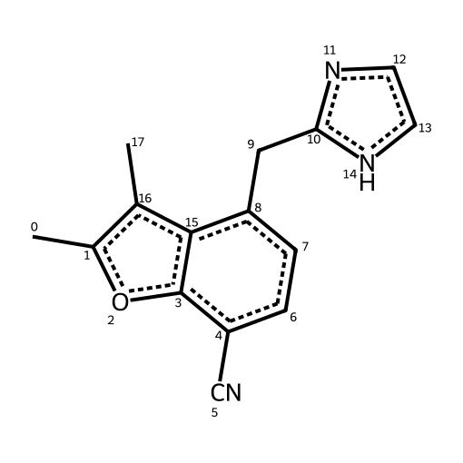 Cc1oc2c(C#N)ccc(Cc3ncc[nH]3)c2c1C